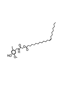 CCCCCCCC/C=C\CCCCCCCCCCCC(=O)OCC(=O)NCc1cc(OC)c(O)cc1I